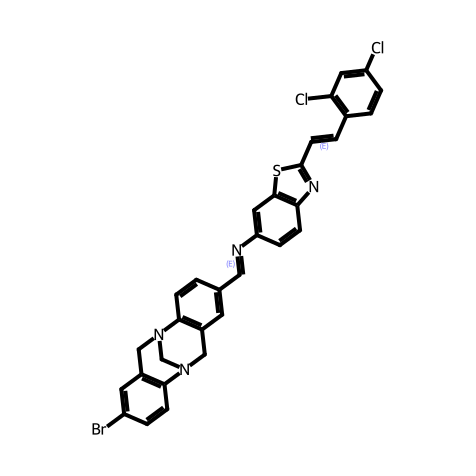 Clc1ccc(/C=C/c2nc3ccc(/N=C/c4ccc5c(c4)CN4CN5Cc5cc(Br)ccc54)cc3s2)c(Cl)c1